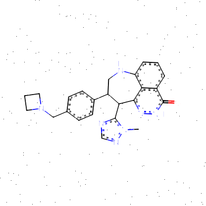 Cn1ncnc1C1c2n[nH]c(=O)c3cccc(c23)NCC1c1ccc(CN2CCC2)cc1